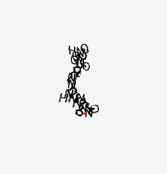 CN(C)C(=O)c1cc2cnc(Nc3ccc(N4CCN(Cc5cc6c(cc5F)C(=O)N(C5CCC(=O)NC5=O)C6=O)CC4)cn3)nc2n1C1CCCC1